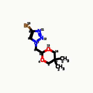 CC1(C)COC(Cn2cc(Br)nn2)OC1